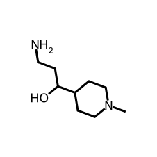 CN1CCC(C(O)CCN)CC1